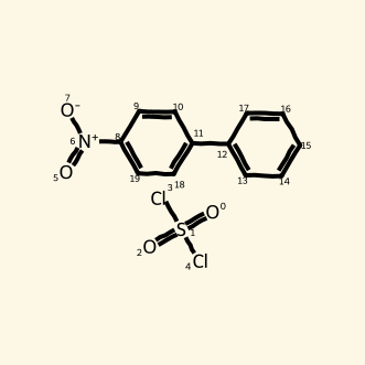 O=S(=O)(Cl)Cl.O=[N+]([O-])c1ccc(-c2ccccc2)cc1